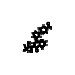 CC(=O)c1ccc(-c2cccc(-n3cc(C(=O)NC(C)(C)C)c(=O)c4cccnc43)c2)cc1